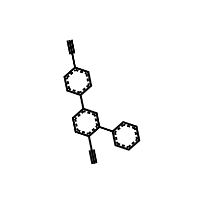 C#Cc1ccc(-c2ccc(C#C)c(-c3ccccc3)c2)cc1